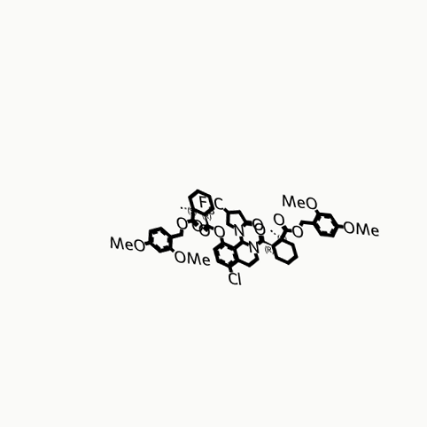 COc1ccc(COC(=O)[C@@]2(C)CCCC[C@H]2C(=O)Oc2ccc(Cl)c3c2C(N2CC(C(F)(F)F)CC2=O)N(C(=O)[C@@H]2CCCC[C@]2(C)C(=O)OCc2ccc(OC)cc2OC)CC3)c(OC)c1